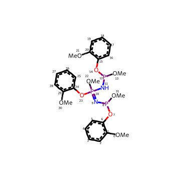 COc1ccccc1OP(N=P(NP(OC)Oc1ccccc1OC)(OC)Oc1ccccc1OC)OC